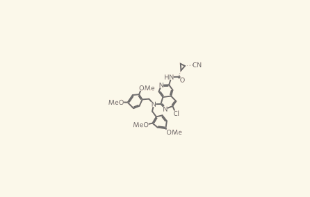 COc1ccc(CN(Cc2ccc(OC)cc2OC)c2nc(Cl)cc3cc(NC(=O)[C@@H]4C[C@@H]4C#N)ncc23)c(OC)c1